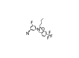 CCCCC(=O)N(Cc1ccc(C(F)(F)F)cc1)c1cc(F)cc(C#N)c1